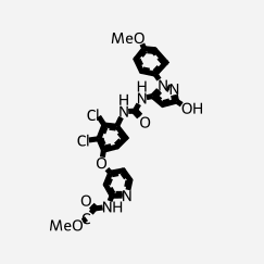 COCC(=O)Nc1cc(Oc2ccc(NC(=O)Nc3cc(O)nn3-c3ccc(OC)cc3)c(Cl)c2Cl)ccn1